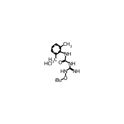 CCC(C)ONC(=N)NC(=O)Nc1c(C)cccc1C.Cl